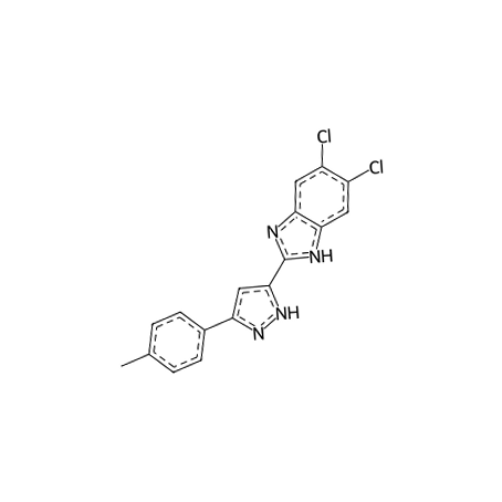 Cc1ccc(-c2cc(-c3nc4cc(Cl)c(Cl)cc4[nH]3)[nH]n2)cc1